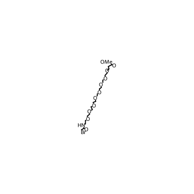 COC(=O)CCOCCOCCOCCOCCOCCOCCOCCOCCNC(=O)CBr